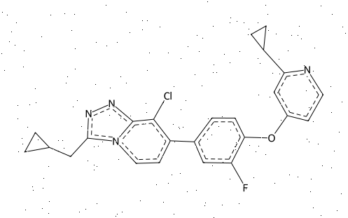 Fc1cc(-c2ccn3c(CC4CC4)nnc3c2Cl)ccc1Oc1ccnc(C2CC2)c1